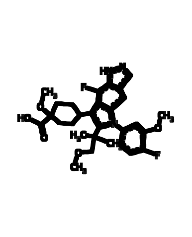 COCC(C)(C)c1c(C2CCC(OC)(C(=O)O)CC2)c2c(F)c3[nH]ncc3cc2n1-c1ccc(F)c(OC)c1